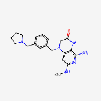 CCCCNc1cc2c(c(N)n1)NC(=O)CN2Cc1cccc(CN2CCCC2)c1